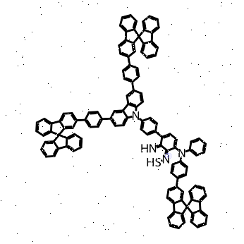 N=C1C(c2ccc(-n3c4ccc(-c5ccc(-c6ccc7c(c6)C6(c8ccccc8-c8ccccc86)c6ccccc6-7)cc5)cc4c4cc(-c5ccc(-c6ccc7c(c6)C6(c8ccccc8-c8ccccc86)c6ccccc6-7)cc5)ccc43)cc2)=CC=C(N(c2ccccc2)c2ccc(-c3ccc4c(c3)C3(c5ccccc5-c5ccccc53)c3ccccc3-4)cc2)/C1=N/S